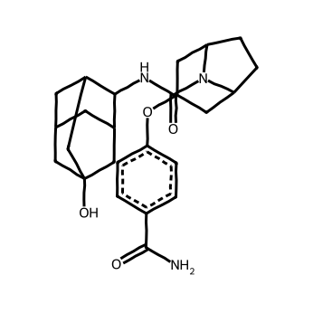 NC(=O)c1ccc(OC2CC3CCC(C2)N3C(=O)NC2C3CC4CC2CC(O)(C4)C3)cc1